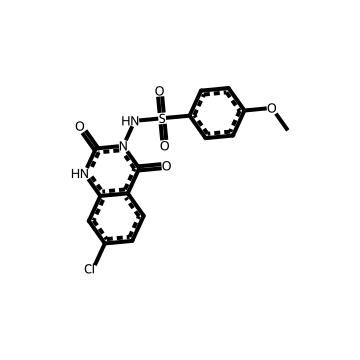 COc1ccc(S(=O)(=O)Nn2c(=O)[nH]c3cc(Cl)ccc3c2=O)cc1